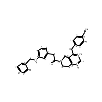 O=C(Cc1cccc(OCc2ccccc2)c1)N1CCc2ncnc(Cc3ccc(F)cc3)c2C1